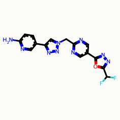 Nc1ccc(-c2cn(Cc3ncc(-c4nnc(C(F)F)o4)cn3)nn2)cn1